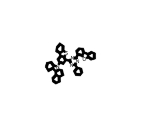 c1ccc(-c2nc(-c3cccc4c3oc3ccccc34)nc(-c3cc(-n4c5ccccc5c5c6ccccc6ccc54)cc4c3sc3ccccc34)n2)cc1